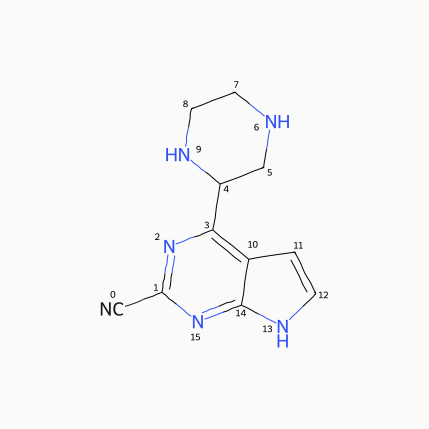 N#Cc1nc(C2CNCCN2)c2cc[nH]c2n1